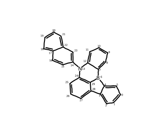 c1ccc2c(c1)B1c3ccccc3N(c3ccc4ccccc4c3)c3cccc-2c31